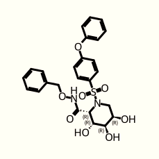 O=C(NOCc1ccccc1)[C@H]1[C@@H](O)[C@H](O)[C@H](O)CN1S(=O)(=O)c1ccc(Oc2ccccc2)cc1